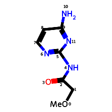 COCC(=O)Nc1nccc(N)n1